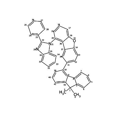 CC1(C)c2ccccc2-c2c(-c3ccc4oc5cccc(-n6c(-c7ccccc7)nc7ccccc76)c5c4c3)cccc21